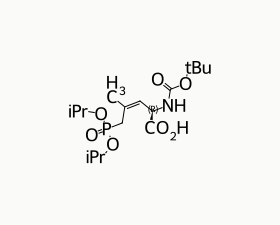 CC(=C[C@@H](NC(=O)OC(C)(C)C)C(=O)O)CP(=O)(OC(C)C)OC(C)C